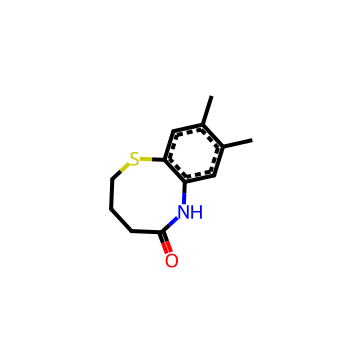 Cc1cc2c(cc1C)SCCCC(=O)N2